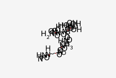 CN(CCON(C(=O)CCCCCCNC(=O)Nc1ccncc1)C1CCCCC1)C(=O)c1cccc(NC(=O)OCc2ccc(O[C@@H]3O[C@H](C(=O)O)[C@@H](O)[C@H](O)[C@H]3O)c(NC(=O)CCNC(=O)C(CN)N3C(=O)C=CC3=O)c2)c1